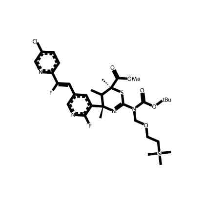 COC(=O)[C@@]1(C)SC(N(COCC[Si](C)(C)C)C(=O)OC(C)(C)C)=N[C@](C)(c2cc(/C=C(\F)c3ccc(Cl)cn3)cnc2F)C1C